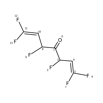 O=C(C(F)C=C(F)F)C(F)C=C(F)F